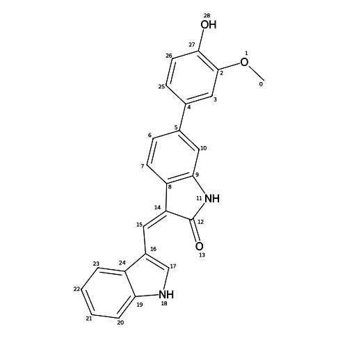 COc1cc(-c2ccc3c(c2)NC(=O)/C3=C\c2c[nH]c3ccccc23)ccc1O